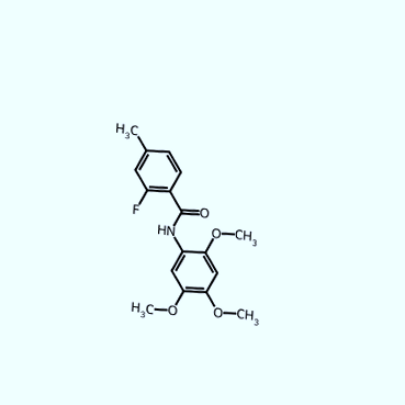 COc1cc(OC)c(OC)cc1NC(=O)c1ccc(C)cc1F